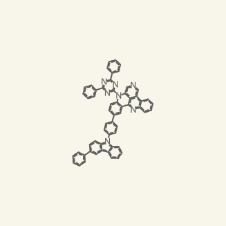 c1ccc(-c2ccc3c(c2)c2ccccc2n3-c2ccc(-c3ccc4c(c3)-c3nc5ccccc5c5cncc(c35)N4c3nc(-c4ccccc4)nc(-c4ccccc4)n3)cc2)cc1